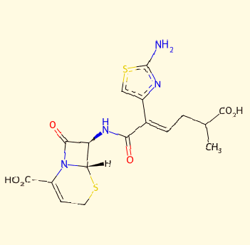 CC(CC=C(C(=O)N[C@@H]1C(=O)N2C(C(=O)O)=CCS[C@@H]12)c1csc(N)n1)C(=O)O